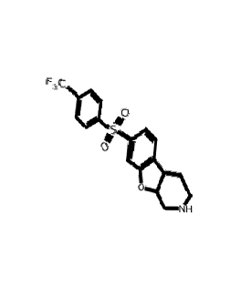 O=S(=O)(c1ccc(C(F)(F)F)cc1)c1ccc2c(c1)OC1CNCCC21